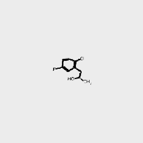 C[C@@H](O)Cc1cc(F)ccc1Cl